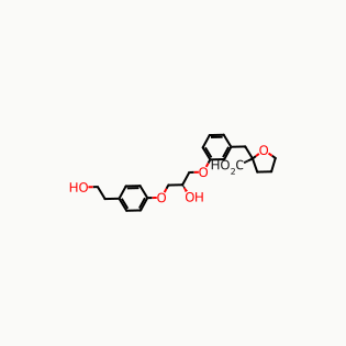 O=C(O)C1(Cc2cccc(OC[C@@H](O)COc3ccc(CCO)cc3)c2)CCCO1